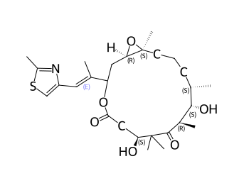 C/C(=C\c1csc(C)n1)C1C[C@H]2O[C@@]2(C)CCC[C@H](C)[C@H](O)[C@@H](C)C(=O)C(C)(C)[C@@H](O)CC(=O)O1